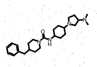 CN(C)C1CCN(C2CCC(NC(=O)N3CCC(Cc4ccccc4)CC3)CC2)C1